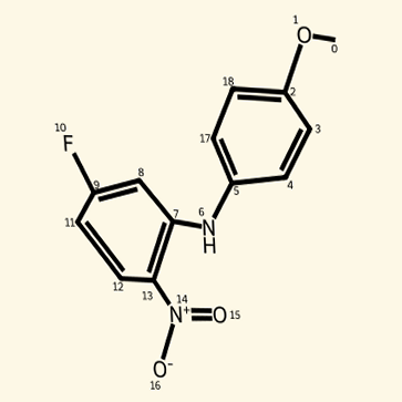 COc1ccc(Nc2cc(F)ccc2[N+](=O)[O-])cc1